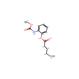 CC(C)(C)OC(=O)Nc1ccccc1OC(=O)CCCC=O